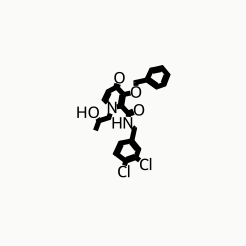 CC(O)Cn1ccc(=O)c(OCc2ccccc2)c1C(=O)NCc1ccc(Cl)c(Cl)c1